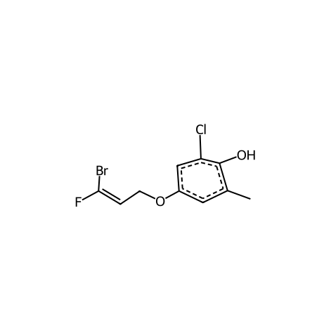 Cc1cc(OC/C=C(/F)Br)cc(Cl)c1O